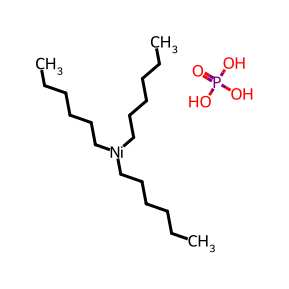 CCCCC[CH2][Ni]([CH2]CCCCC)[CH2]CCCCC.O=P(O)(O)O